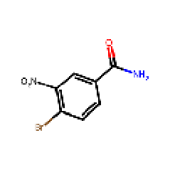 NC(=O)c1ccc(Br)c([N+](=O)[O-])c1